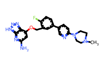 CN1CCN(c2ccc(-c3ccc(F)c(COc4cc(N)nc5[nH]nnc45)c3)cn2)CC1